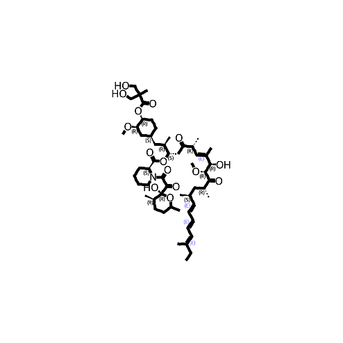 CC/C(C)=C/C=C/C=C/[C@@H](C)C[C@@H](C)C(=O)[C@H](OC)[C@H](O)/C(C)=C/[C@@H](C)C(=O)C[C@H](OC(=O)[C@@H]1CCCCN1C(=O)C(=O)[C@]1(O)OC(C)CC[C@H]1C)[C@H](C)C[C@@H]1CC[C@@H](OC(=O)C(C)(CO)CO)[C@H](OC)C1